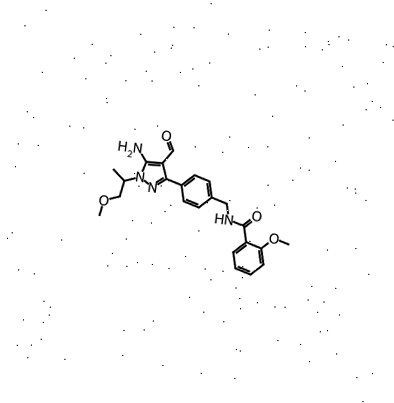 COCC(C)n1nc(-c2ccc(CNC(=O)c3ccccc3OC)cc2)c(C=O)c1N